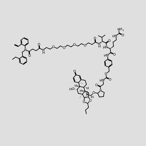 C=Cc1ccccc1N(Cc1ccccc1CC)C(=O)CCC(=O)NCCOCCOCCOCCOCCC(=O)N[C@H](C(=O)N[C@@H](CCCNC(N)=O)C(=O)Nc1ccc(COC(=O)NCC(=O)N2CCCC2OCC(=O)[C@@]23OC(CCC)O[C@@H]2C[C@H]2[C@@H]4CCC5=CC(=O)C=C[C@]5(C)[C@H]4[C@@H](O)C[C@@]23C)cc1)C(C)C